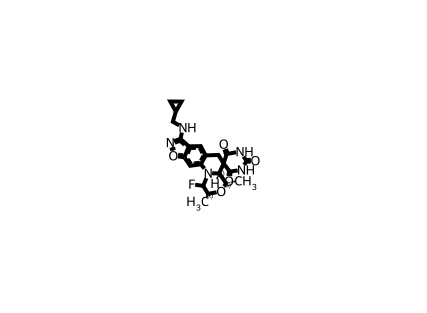 C[C@@H]1O[C@H](C)C(F)N2c3cc4onc(NCC5CC5)c4cc3CC3(C(=O)NC(=O)NC3=O)[C@@H]12